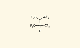 FC(F)(F)[C](C(F)(F)F)C(F)(C(F)(F)F)C(F)(F)F